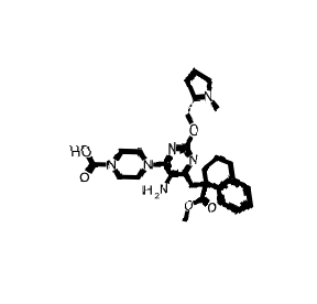 COC(=O)C1(Cc2nc(OC[C@@H]3CCCN3C)nc(N3CCN(C(=O)O)CC3)c2N)CCCc2ccccc21